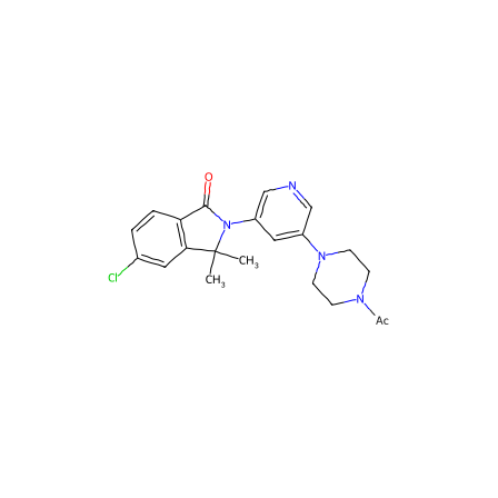 CC(=O)N1CCN(c2cncc(N3C(=O)c4ccc(Cl)cc4C3(C)C)c2)CC1